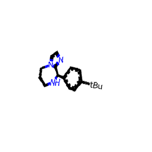 CC(C)(C)c1ccc(C2NCCCn3ccnc32)cc1